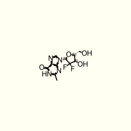 Cc1nc2c(ncn2[C@@H]2O[C@H](CO)[C@@H](O)C2(F)F)c(=O)[nH]1